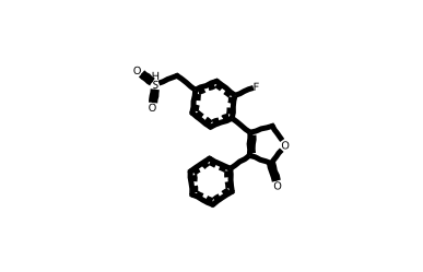 O=C1OCC(c2ccc(C[SH](=O)=O)cc2F)=C1c1ccccc1